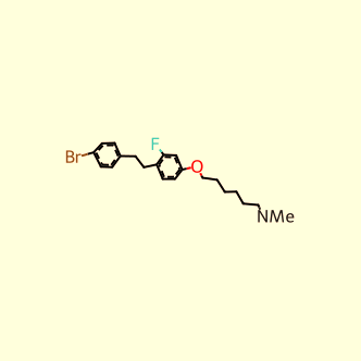 CNCCCCCCOc1ccc(CCc2ccc(Br)cc2)c(F)c1